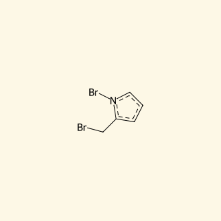 BrCc1cccn1Br